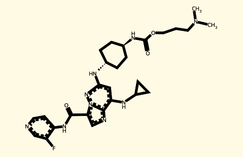 CN(C)CCCOC(=O)N[C@H]1CC[C@H](Nc2cc(NC3CC3)c3ncc(C(=O)Nc4ccncc4F)n3n2)CC1